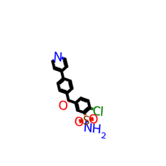 NS(=O)(=O)c1cc(C(=O)c2ccc(-c3ccncc3)cc2)ccc1Cl